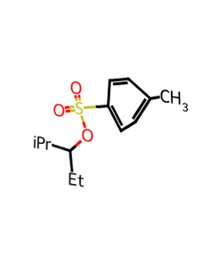 CCC(OS(=O)(=O)c1ccc(C)cc1)C(C)C